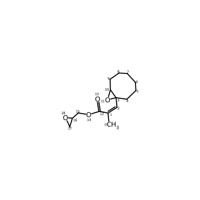 CC(=CC12CCCCCCC1O2)C(=O)OCC1CO1